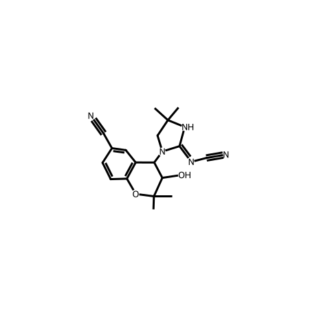 CC1(C)CN(C2c3cc(C#N)ccc3OC(C)(C)C2O)/C(=N/C#N)N1